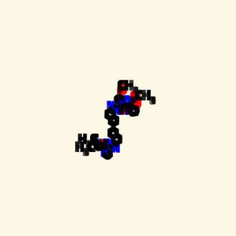 CC[C@H](C)CC(=O)N1CCC[C@H]1c1nc2ccc3cc(-c4ccc5c(ccc6nc([C@@H]7C[C@H](COC)CN7C(=O)[C@H](NC(=O)OC)c7ccccc7)[nH]c65)c4)ccc3c2[nH]1